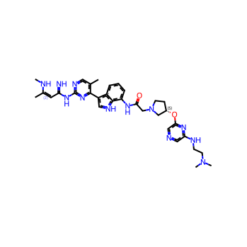 CN/C(C)=C\C(=N)Nc1ncc(C)c(-c2c[nH]c3c(NC(=O)CN4CC[C@H](Oc5cncc(NCCN(C)C)n5)C4)cccc23)n1